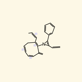 C=CC1=C(c2ccccc2)N1/C1=C(\C=C/C)C/C=C\C=C/C1=C